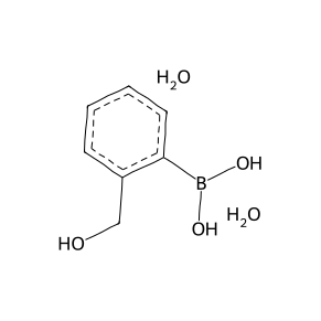 O.O.OCc1ccccc1B(O)O